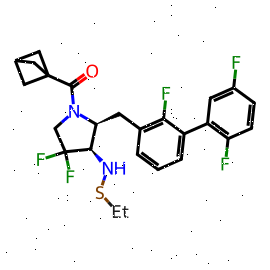 CCSN[C@@H]1[C@H](Cc2cccc(-c3cc(F)ccc3F)c2F)N(C(=O)C23CC(C2)C3)CC1(F)F